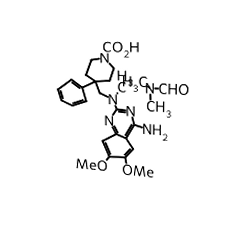 CN(C)C=O.COc1cc2nc(N(C)CC3(c4ccccc4)CCN(C(=O)O)CC3)nc(N)c2cc1OC